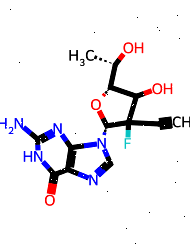 C#CC1(F)C(O)[C@@H]([C@H](C)O)O[C@H]1n1cnc2c(=O)[nH]c(N)nc21